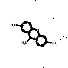 Nc1ccc2c(N)c3cc(N)ccc3nc2c1